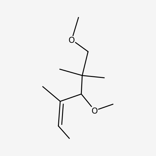 CC=C(C)C(OC)C(C)(C)COC